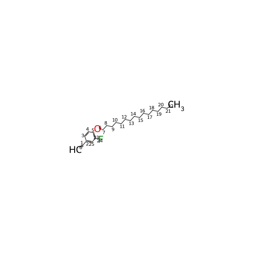 C#Cc1ccc(OCCCCCCCCCCCCCCCC)c(F)c1